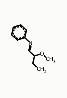 [CH2]CC(C=Nc1ccccc1)OC